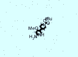 COC1=C(C2=CCN(C(=O)OC(C)(C)C)CC2)CNC(N)=C1